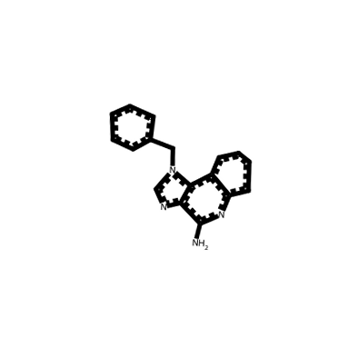 Nc1nc2ccccc2c2c1ncn2Cc1ccccc1